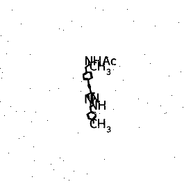 CC(=O)NC(C)Cc1ccc(C#Cc2cnc(NCc3ccc(C)cc3)nc2)cc1